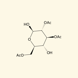 CC(=O)OC[C@H]1O[C@@H](O)[C@H](OC(C)=O)[C@@H](OC(C)=O)[C@@H]1O